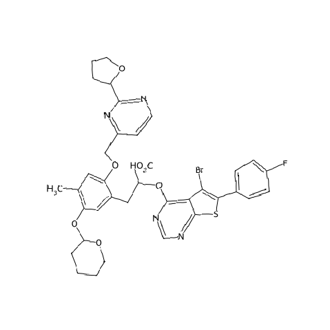 Cc1cc(OCc2ccnc(C3CCCO3)n2)c(CC(Oc2ncnc3sc(-c4ccc(F)cc4)c(Br)c23)C(=O)O)cc1OC1CCCCO1